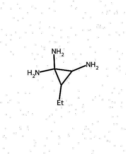 [CH2]CC1C(N)C1(N)N